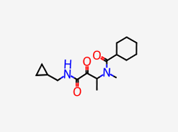 CC(C(=O)C(=O)NCC1CC1)N(C)C(=O)C1CCCCC1